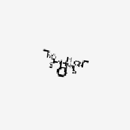 CC=NOC(=S)Nc1ccccc1NC(=S)ON=CC